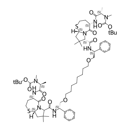 C[C@@H](C(=O)N[C@H]1CCS[C@H]2CC(C)(C)C(C(=O)N[C@H](COCCCCCCCCOC[C@@H](NC(=O)[C@H]3N4C(=O)[C@@H](NC(=O)[C@H](C)N(C)C(=O)OC(C)(C)C)CCS[C@H]4CC3(C)C)c3ccccc3)c3ccccc3)N2C1=O)N(C)C(=O)OC(C)(C)C